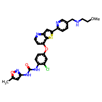 COCCNCc1ccc(-c2cc3nccc(Oc4ccc(NC(=O)Nc5cc(C)on5)c(Cl)c4)c3s2)nc1